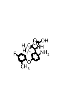 Cc1cc(F)ccc1Oc1ccc(N)c(C(NC(=O)O)C(C)(C)C)c1